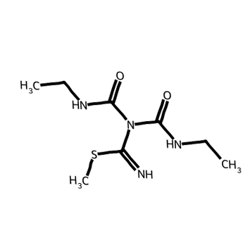 CCNC(=O)N(C(=N)SC)C(=O)NCC